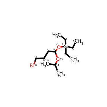 CC[Si](CC)(CC)OC(CCCBr)OC(C)C